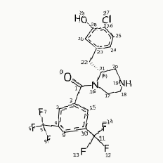 O=C(c1cc(C(F)(F)F)cc(C(F)(F)F)c1)N1CCNC[C@H]1Cc1ccc(Cl)c(O)c1